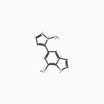 [CH2]c1cc(-c2ccnn2C)cc2ccoc12